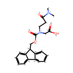 CN(C)C(=O)CCN(CC(=O)O)C(=O)OCC1c2ccccc2-c2ccccc21